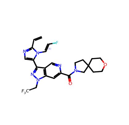 C=Cc1ncc(-c2nn(CC(F)(F)F)c3cc(C(=O)N4CCC5(CCOCC5)C4)ncc23)n1/C=C/F